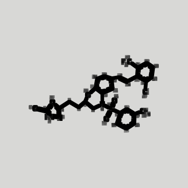 O=c1[nH]nc(CCC2CN(S(=O)(=O)c3cccc(C(F)(F)F)c3)c3cc(C=Cc4c(Cl)cccc4C(F)(F)F)ccc3O2)o1